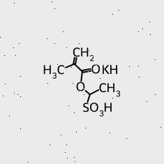 C=C(C)C(=O)OC(C)S(=O)(=O)O.[KH]